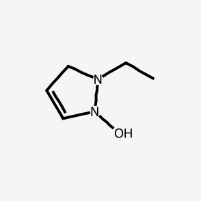 CCN1CC=CN1O